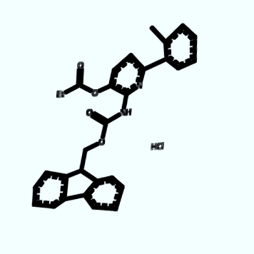 CCC(=O)Oc1ccc(-c2ccccc2C)nc1NC(=O)OCC1c2ccccc2-c2ccccc21.Cl